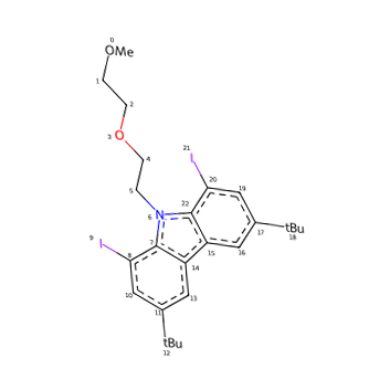 COCCOCCn1c2c(I)cc(C(C)(C)C)cc2c2cc(C(C)(C)C)cc(I)c21